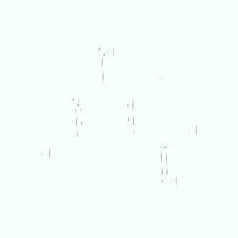 C=C(Cl)c1cc(Cl)nc(N)c1F